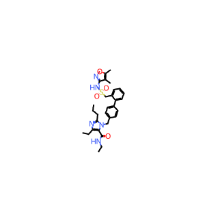 CCCc1nc(CC)c(C(=O)NCC)n1Cc1ccc(-c2ccccc2CS(=O)(=O)Nc2noc(C)c2C)cc1